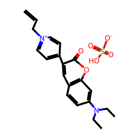 C=CC[n+]1ccc(-c2cc3ccc(N(CC)CC)cc3oc2=O)cc1.O=S(=O)([O-])O